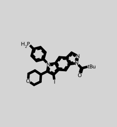 CC(C)(C)C(=O)n1ncc2cc3c(cc21)c(I)c(C1CCOCC1)n3-c1ccc(P)cc1